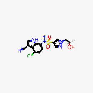 C[C@H](O)Cn1cc(S(=O)(=O)Nc2ccc(Cl)c3c(C#N)c[nH]c23)cn1